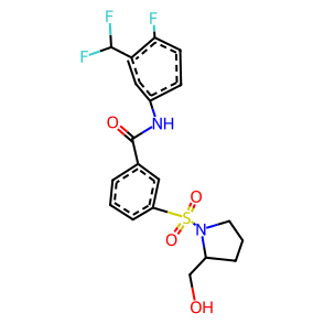 O=C(Nc1ccc(F)c(C(F)F)c1)c1cccc(S(=O)(=O)N2CCCC2CO)c1